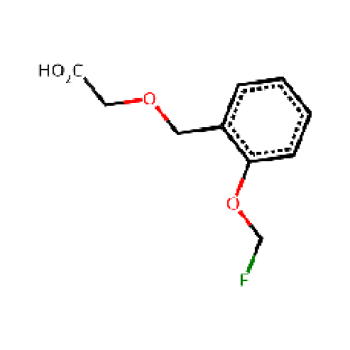 O=C(O)COCc1ccccc1OCF